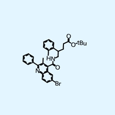 Cc1ccccc1C(CCC(=O)OC(C)(C)C)CNC(=O)c1c(C)c(-c2ccccc2)nc2ccc(Br)cc12